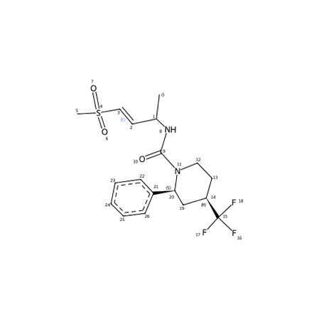 CC(/C=C/S(C)(=O)=O)NC(=O)N1CC[C@@H](C(F)(F)F)C[C@H]1c1ccccc1